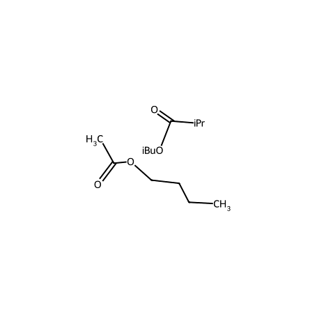 CC(C)COC(=O)C(C)C.CCCCOC(C)=O